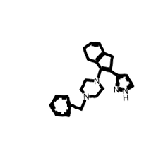 C1=CC2=C(CC1)C(N1CCN(Cc3ccccc3)CC1)=C(c1cc[nH]n1)C2